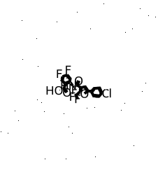 O=C(O)c1cc(F)c(F)cc1NC(=O)c1cc(-c2ccc(Cl)cc2)oc1C(F)(F)F